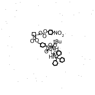 CC(C)(C)OC(=O)N[C@@H](CC(=O)NC(c1ccccc1)(c1ccccc1)c1ccccc1)C(=O)Nc1ccc(COC(=O)N2CCC[C@H]2COC(=O)Oc2ccc([N+](=O)[O-])cc2)cc1